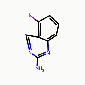 Nc1ncc2c(I)cccc2n1